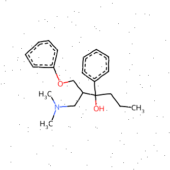 CCCC(O)(c1ccccc1)C(COc1ccccc1)CN(C)C